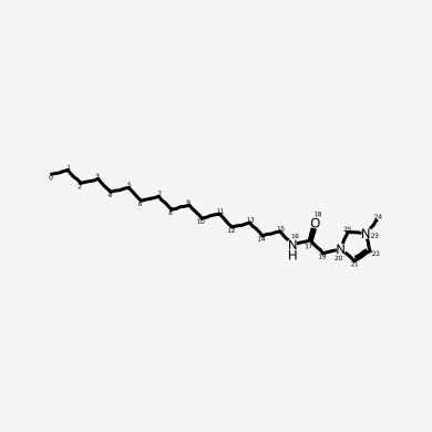 CCCCCCCCCCCCCCCCNC(=O)CN1C=CN(C)C1